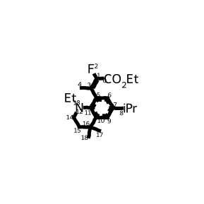 CCOC(=O)/C(F)=C(/C)c1cc(C(C)C)cc2c1N(CC)CCC2(C)C